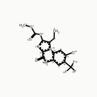 CCc1c(OC(=O)OC)nc2c(=O)[nH]c3cc(C(F)(F)F)c(Cl)cc3n12